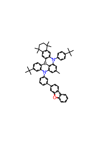 Cc1cc2c3c(c1)N(c1ccc(C(C)(C)C)cc1)c1cc4c(cc1B3c1ccc(C(C)(C)C)cc1N2c1cccc(-c2ccc3c(c2)oc2ccccc23)c1)C(C)(C)CCC4(C)C